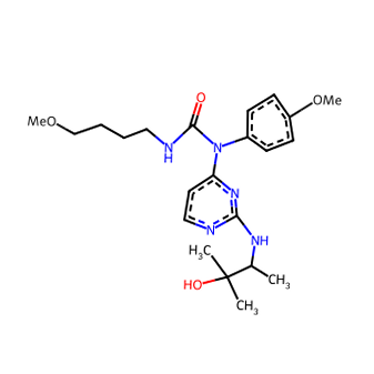 COCCCCNC(=O)N(c1ccc(OC)cc1)c1ccnc(NC(C)C(C)(C)O)n1